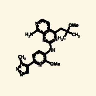 COc1nc(-c2cnnn2C)ccc1Nc1nc(CC(C)(C)OC)c2ccnc(N)c2n1